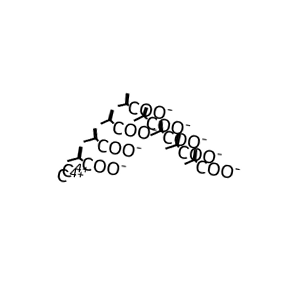 C=C(C)C(=O)[O-].C=C(C)C(=O)[O-].C=C(C)C(=O)[O-].C=C(C)C(=O)[O-].C=C(C)C(=O)[O-].C=C(C)C(=O)[O-].C=C(C)C(=O)[O-].C=C(C)C(=O)[O-].[C+4].[C+4]